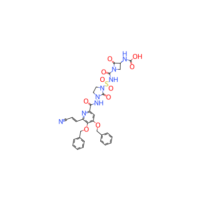 N#CC=Cc1nc(C(=O)NN2CCN(S(=O)(=O)NC(=O)N3C[C@H](NC(=O)O)C3=O)C2=O)cc(OCc2ccccc2)c1OCc1ccccc1